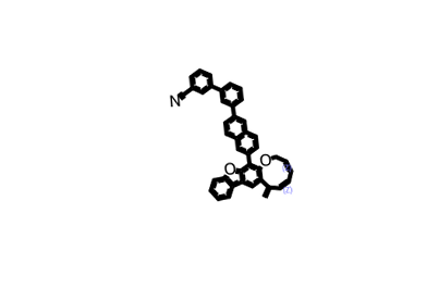 C=C1/C=C\C=C/COc2c1cc1c(oc3ccccc31)c2-c1ccc2cc(-c3cccc(-c4cccc(C#N)c4)c3)ccc2c1